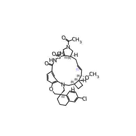 CO[C@H]1/C=C/C[C@@H]2CN(C(C)=O)C[C@H]2S(=O)(=O)NC(=O)c2ccc3c(c2)N(C[C@@H]2CC[C@H]21)C[C@@]1(CCCc2cc(Cl)ccc21)CO3